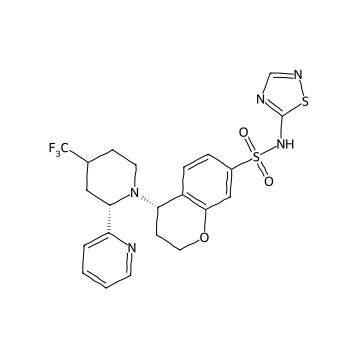 O=S(=O)(Nc1ncns1)c1ccc2c(c1)OCC[C@@H]2N1CCC(C(F)(F)F)C[C@H]1c1ccccn1